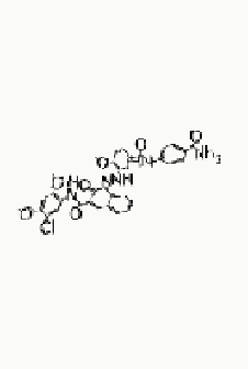 COc1cc(OC)c(NC(=O)C2=Cc3ccccc3/C(=N\Nc3cc(C(=O)Nc4ccc(C(N)=O)cc4)ccc3OC)C2=O)cc1Cl